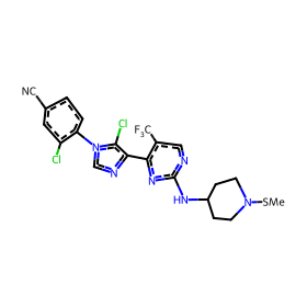 CSN1CCC(Nc2ncc(C(F)(F)F)c(-c3ncn(-c4ccc(C#N)cc4Cl)c3Cl)n2)CC1